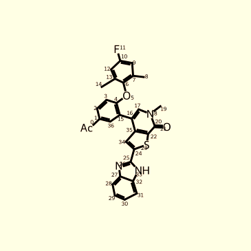 CC(=O)c1ccc(Oc2c(C)cc(F)cc2C)c(-c2cn(C)c(=O)c3sc(-c4nc5ccccc5[nH]4)cc23)c1